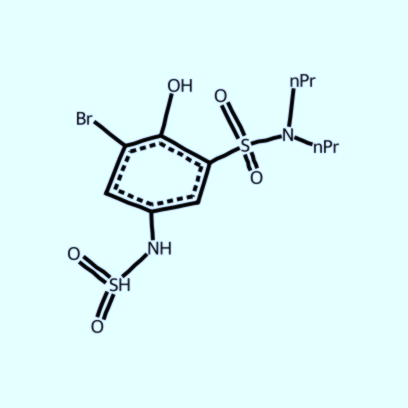 CCCN(CCC)S(=O)(=O)c1cc(N[SH](=O)=O)cc(Br)c1O